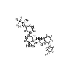 Cc1ccc(-c2cccc3[nH]c(-c4n[nH]c5cnc(-c6cncc(NC(=O)C(C)(C)C)c6)cc45)cc23)s1